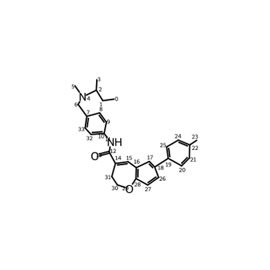 CCC(C)N(C)Cc1ccc(NC(=O)C2=Cc3cc(-c4ccc(C)cc4)ccc3OCC2)cc1